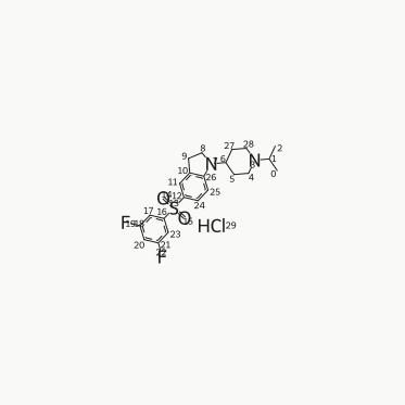 CC(C)N1CCC(N2CCc3cc(S(=O)(=O)c4cc(F)cc(F)c4)ccc32)CC1.Cl